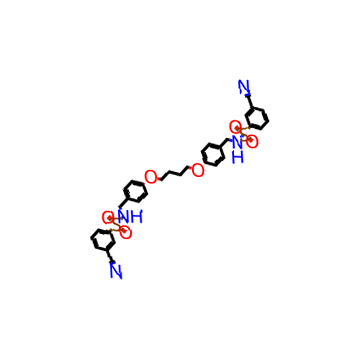 N#Cc1cccc(S(=O)(=O)NCc2ccc(OCCCCOc3ccc(CNS(=O)(=O)c4cccc(C#N)c4)cc3)cc2)c1